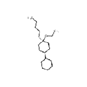 CCCCC[C@]1(OCC)CC[C@@H](C2CCCCC2)CC1